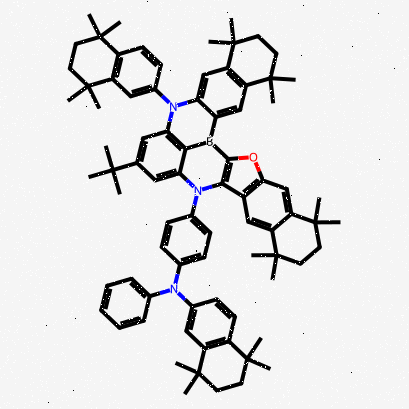 CC(C)(C)c1cc2c3c(c1)N(c1ccc(N(c4ccccc4)c4ccc5c(c4)C(C)(C)CCC5(C)C)cc1)c1c(oc4cc5c(cc14)C(C)(C)CCC5(C)C)B3c1cc3c(cc1N2c1ccc2c(c1)C(C)(C)CCC2(C)C)C(C)(C)CCC3(C)C